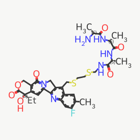 CC[C@@]1(O)C(=O)OCc2c1cc1n(c2=O)Cc2c-1nc1cc(F)c(C)cc1c2CSCCSCNC(=O)[C@H](C)NC(=O)[C@H](C)NC(=O)[C@H](C)N